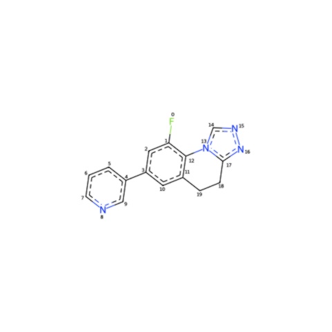 Fc1cc(-c2cccnc2)cc2c1-n1cnnc1CC2